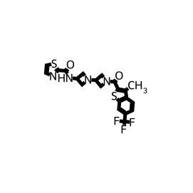 Cc1c(C(=O)N2CC(N3CC(NC(=O)c4nccs4)C3)C2)sc2cc(C(F)(F)F)ccc12